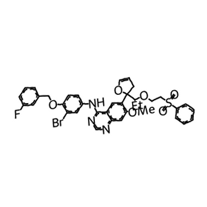 CCC(OCCS(=O)(=O)c1ccccc1)C1(c2cc3c(Nc4ccc(OCc5cccc(F)c5)c(Br)c4)ncnc3cc2OC)CC=CO1